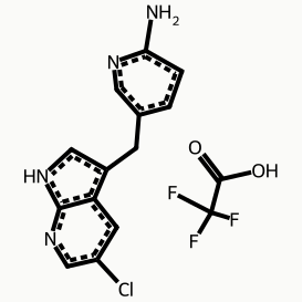 Nc1ccc(Cc2c[nH]c3ncc(Cl)cc23)cn1.O=C(O)C(F)(F)F